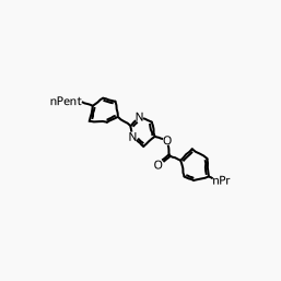 CCCCCc1ccc(-c2ncc(OC(=O)c3ccc(CCC)cc3)cn2)cc1